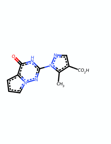 Cc1c(C(=O)O)cnn1-c1nn2cccc2c(=O)[nH]1